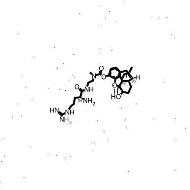 CN(CCNC(=O)[C@@H](N)CCCNC(=N)N)C(=O)Oc1ccc2c3c1O[C@H]1C(O)CCC4[C@@H](C2)N(C)CC[C@@]341